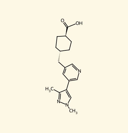 Cc1nn(C)cc1-c1cncc(C[C@H]2CC[C@H](C(=O)O)CC2)c1